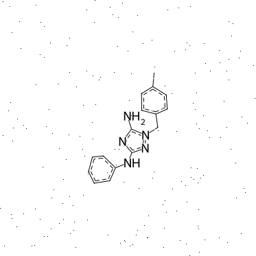 Cc1ccc(Cn2nc(Nc3ccccc3)nc2N)cc1